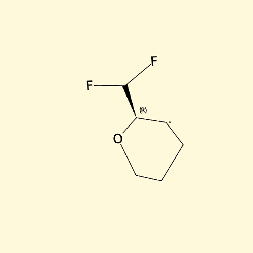 FC(F)[C@H]1[CH]CCCO1